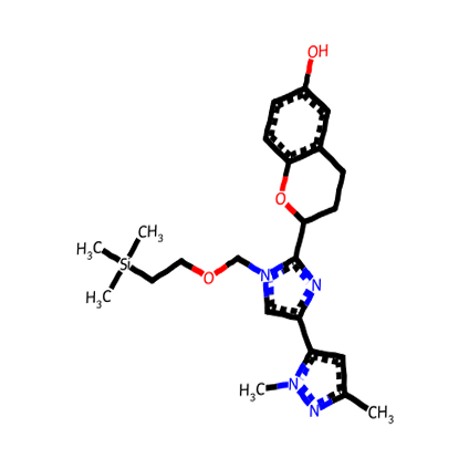 Cc1cc(-c2cn(COCC[Si](C)(C)C)c(C3CCc4cc(O)ccc4O3)n2)n(C)n1